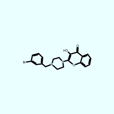 O=c1c(O)c(N2CCN(Cc3cccc(Br)c3)CC2)oc2ccccc12